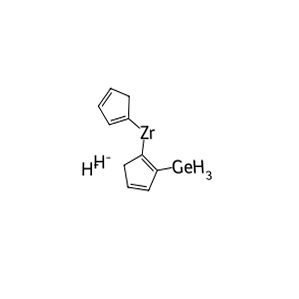 [GeH3][C]1=[C]([Zr][C]2=CC=CC2)CC=C1.[H-].[H-]